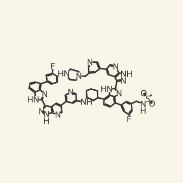 CS(=O)(=O)NCc1cc(F)cc(-c2ccc(C3CCCC(Nc4cncc(-c5cnc6[nH]nc(-c7nc8c(-c9cccc(F)c9)cccc8[nH]7)c6c5)c4)C3)c3[nH]c(-c4n[nH]c5ncc(-c6cncc(CN7CCNCC7)c6)cc45)nc23)c1